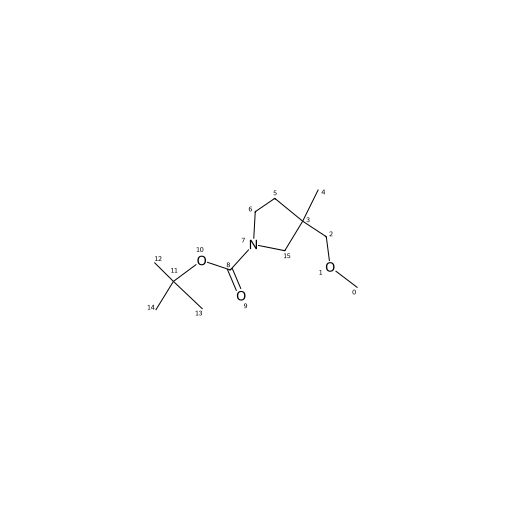 COCC1(C)CCN(C(=O)OC(C)(C)C)C1